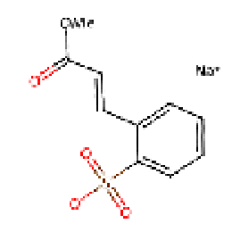 COC(=O)/C=C/c1ccccc1S(=O)(=O)[O-].[Na+]